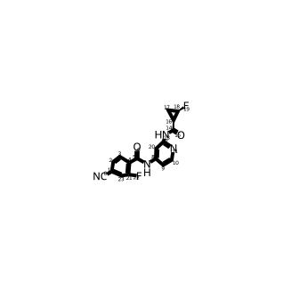 N#Cc1ccc(C(=O)Nc2ccnc(NC(=O)[C@H]3C[C@H]3F)c2)c(F)c1